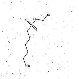 CC(C)(C)CCCCCS(=O)(=O)NCC(C)(C)C